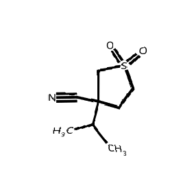 CC(C)C1(C#N)CCS(=O)(=O)C1